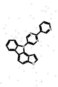 c1cncc(-c2ncc(-n3c4ccccc4c4ccc5occc5c43)cn2)c1